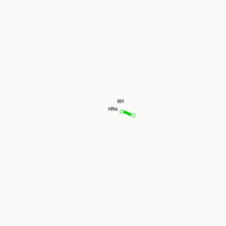 ClCl.[KH].[NaH]